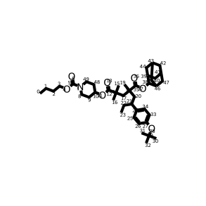 CCCCOC(=O)N1CCC(OC(=O)C(C)(C)CC(C)(CC(CC)c2ccc(OC(C)(C)C)cc2)C(=O)OC2C3CC4CC(C3)CC2C4)CC1